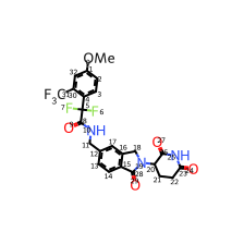 COc1ccc(C(F)(F)C(=O)NCc2ccc3c(c2)CN(C2CCC(=O)NC2=O)C3=O)c(C(F)(F)F)c1